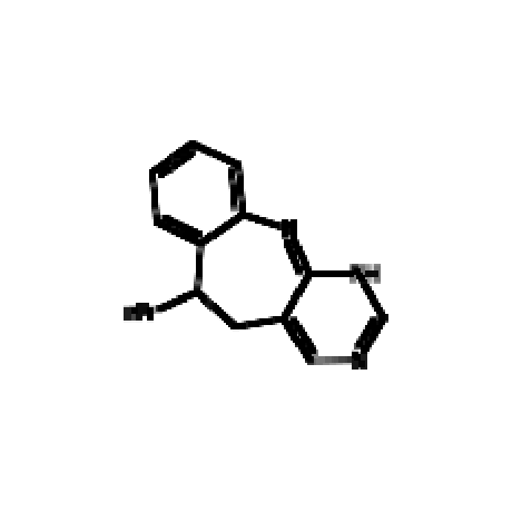 CCCC1CC2=CN=CNC2=Nc2ccccc21